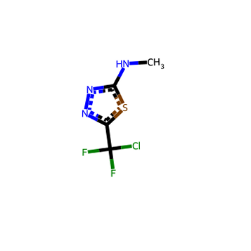 CNc1nnc(C(F)(F)Cl)s1